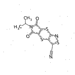 CC(C)n1c(=O)c2sc3nsc(C#N)c3sc=2c1=O